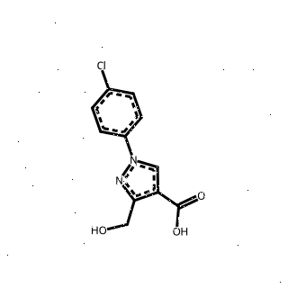 O=C(O)c1cn(-c2ccc(Cl)cc2)nc1CO